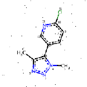 Cc1nnn(C)c1-c1ccc(Cl)nc1